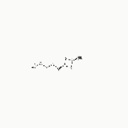 CC(C)(C)OCCO[C@H]1C[C@@H](N)C1